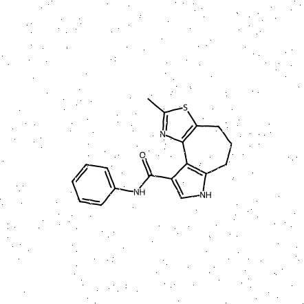 Cc1nc2c(s1)CCCc1[nH]cc(C(=O)Nc3ccccc3)c1-2